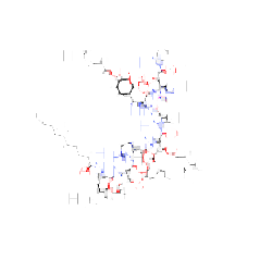 CCCCCCCCCC(=O)N[C@@H](CC(C)C)C(=O)N[C@H](C(=O)N1CCC[C@@H]1C(=O)N[C@H](C(=O)N[C@@H](C)C(=O)N[C@@H](Cc1ccc(OCCCC)cc1)C(=O)NC(C)C(O)C(=O)NC)C(C)OCCCC)C(C)OCCCC